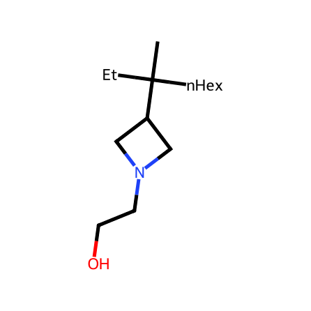 CCCCCCC(C)(CC)C1CN(CCO)C1